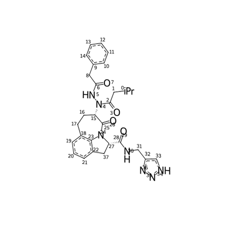 CC(C)CC(=O)N(NC(=O)Cc1ccccc1)[C@H]1CCc2cccc3c2N(C1=O)[C@H](C(=O)NCc1c[nH]nn1)C3